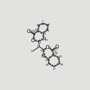 CC(c1nc2ccccc2c(=O)o1)c1nc2ccccc2c(=O)o1